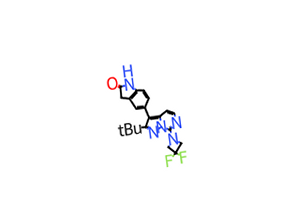 CC(C)(C)c1nn2c(N3CC(F)(F)C3)nccc2c1-c1ccc2c(c1)CC(=O)N2